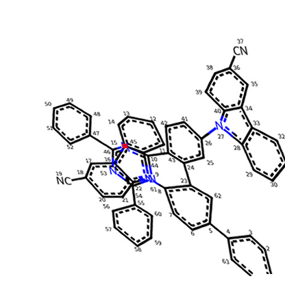 N#Cc1ccc(-c2ccc(-n3c4ccccc4c4cc(C#N)ccc43)c(-c3cc(-n4c5ccccc5c5cc(C#N)ccc54)ccc3-c3nc(-c4ccccc4)nc(-c4ccccc4)n3)c2)cc1